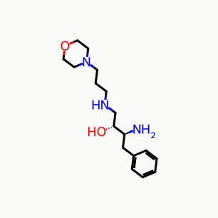 N[C@@H](Cc1ccccc1)[C@H](O)CNCCCN1CCOCC1